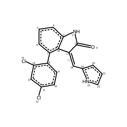 O=C1Nc2cccc(-c3ccc(Cl)cc3Cl)c2/C1=C/c1ccc[nH]1